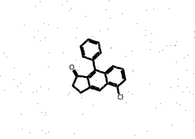 O=C1CCc2cc3c(Cl)cccc3c(-c3ccccc3)c21